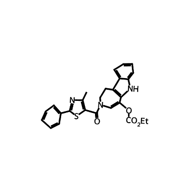 CCOC(=O)OC1=CN(C(=O)c2sc(-c3ccccc3)nc2C)CCc2c1[nH]c1ccccc21